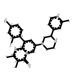 Cc1cc(C2CN(c3cc(-c4ccc(Cl)cc4F)c4nc(C)c(C)c(=O)n4c3)CCO2)ccn1